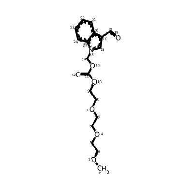 COCCOCCOCCOC(=O)OCn1cc(C=O)c2ccccc21